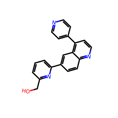 OCc1cccc(-c2ccc3nccc(-c4ccncc4)c3c2)n1